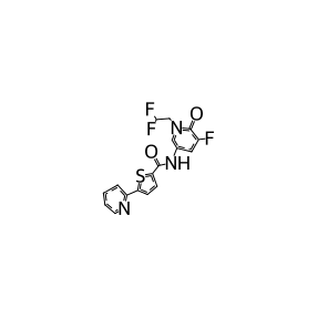 O=C(Nc1cc(F)c(=O)n(CC(F)F)c1)c1ccc(-c2ccccn2)s1